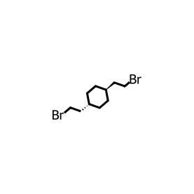 BrCC[C@H]1CC[C@H](CCBr)CC1